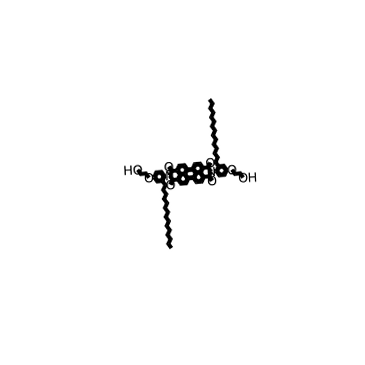 CCCCCCCCCCCCCCCc1cc(OCCO)ccc1N1C(=O)c2ccc3c4ccc5c6c(ccc(c7ccc(c2c37)C1=O)c64)C(=O)N(c1ccc(OCCO)cc1CCCCCCCCCCCCCCC)C5=O